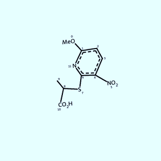 COc1ccc([N+](=O)[O-])c(SC(C)C(=O)O)n1